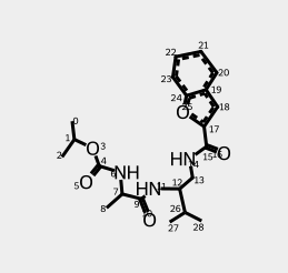 CC(C)OC(=O)NC(C)C(=O)NC(CNC(=O)c1cc2ccccc2o1)C(C)C